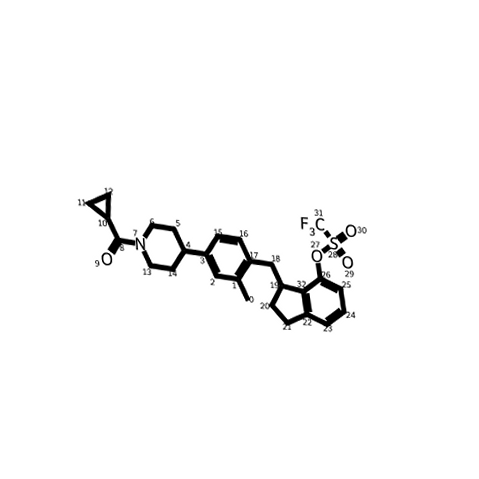 Cc1cc(C2CCN(C(=O)C3CC3)CC2)ccc1CC1CCc2cccc(OS(=O)(=O)C(F)(F)F)c21